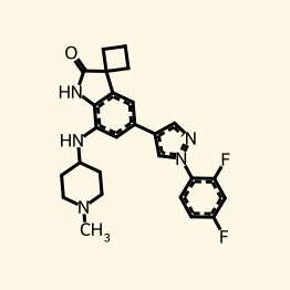 CN1CCC(Nc2cc(-c3cnn(-c4ccc(F)cc4F)c3)cc3c2NC(=O)C32CCC2)CC1